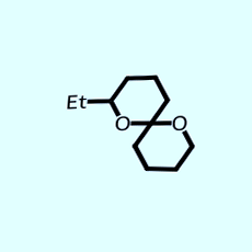 CCC1CCCC2(CCCCO2)O1